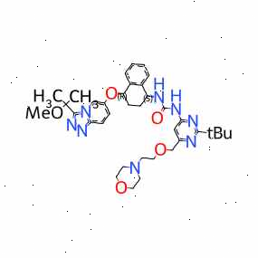 COC(C)(C)c1nnc2ccc(O[C@@H]3CC[C@H](NC(=O)Nc4cc(COCCN5CCOCC5)nc(C(C)(C)C)n4)c4ccccc43)cn12